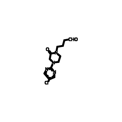 O=CCCCN1CCN(c2ncc(Cl)cn2)CC1=O